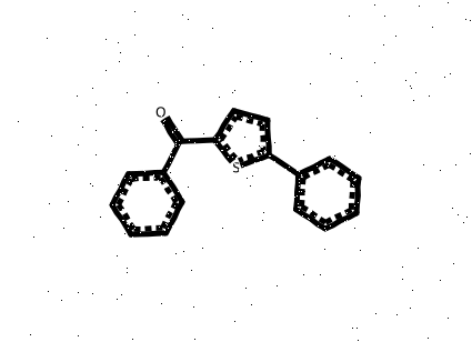 O=C(c1ccccc1)c1ccc(-c2ccccc2)s1